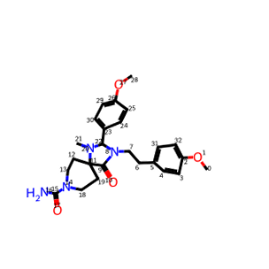 COc1ccc(CCN2C(=O)C3(CCN(C(N)=O)CC3)N(C)C2c2ccc(OC)cc2)cc1